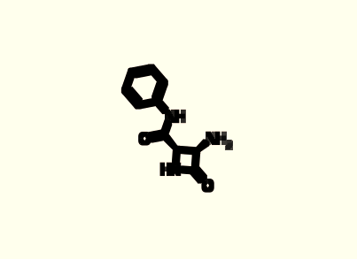 N[C@H]1C(=O)N[C@H]1C(=O)Nc1ccccc1